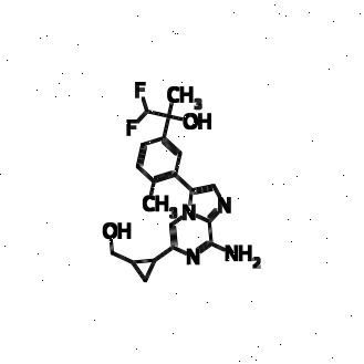 Cc1ccc(C(C)(O)C(F)F)cc1-c1cnc2c(N)nc(C3CC3CO)cn12